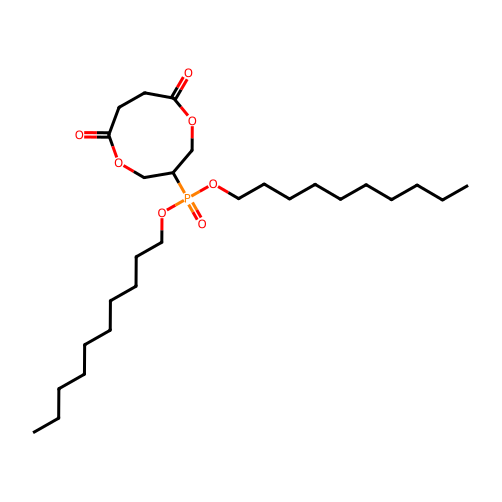 CCCCCCCCCCOP(=O)(OCCCCCCCCCC)C1COC(=O)CCC(=O)OC1